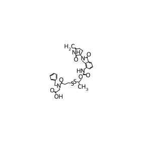 C=C1CCC(N2Cc3c(NC(=O)OCC(C)SSCCC(=O)N(CC(=O)O)Cc4ccccc4)cccc3C2=O)C(=O)N1